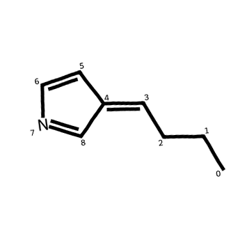 CCCC=C1C=CN=C1